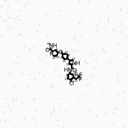 CNC(=O)c1cc(Oc2ccc(-c3c[nH]c(C(=O)Nc4ccc(Cl)c(CC(F)(F)F)c4)c3)cc2)ccn1